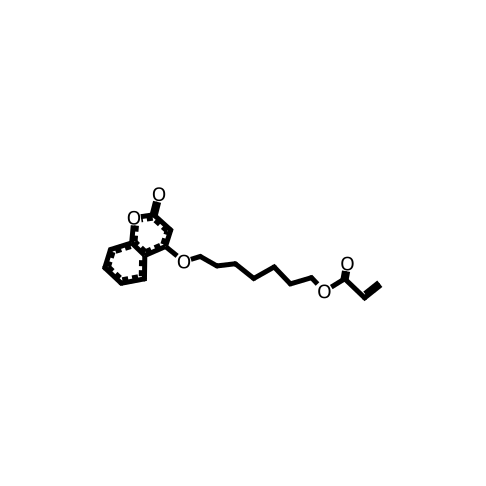 C=CC(=O)OCCCCCCCOc1cc(=O)oc2ccccc12